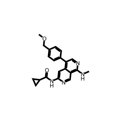 CNc1ncc(-c2ccc(COC)cc2)c2cc(NC(=O)C3CC3)ncc12